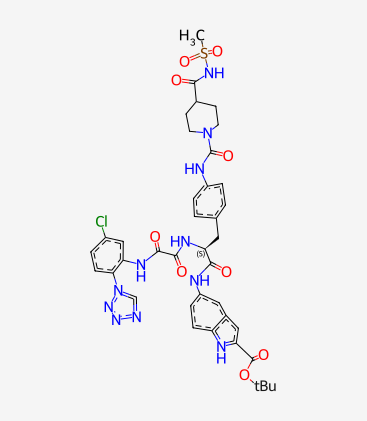 CC(C)(C)OC(=O)c1cc2cc(NC(=O)[C@H](Cc3ccc(NC(=O)N4CCC(C(=O)NS(C)(=O)=O)CC4)cc3)NC(=O)C(=O)Nc3cc(Cl)ccc3-n3cnnn3)ccc2[nH]1